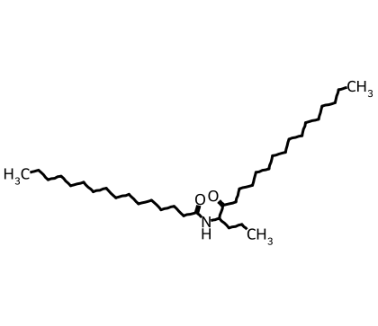 CCCCCCCCCCCCCCCC(=O)NC(CCC)C(=O)CCCCCCCCCCCCCCC